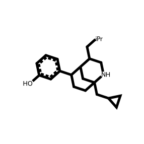 CC(C)CC1CNC2(CC3CC3)CCC(c3cccc(O)c3)C1C2